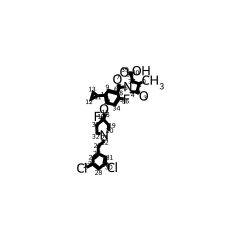 CC1C(=O)CN(C(=O)c2cc(C3CC3)c(OCC3(F)CCN(CCc4cc(Cl)cc(Cl)c4)CC3)cc2F)C1C(=O)O